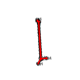 O=C(O)CCCCCCCCCCC(CCCCCCCCCCC(=O)O)(C(=O)O)C(=O)NCCOCCOCCOCCOCCOCCOCCOCCOCCOCCOCCOCCOCCOCCOCCOCCOCCOCCOCCOCCOCCOCCOCCOCCn1nnc2c1CC[C@@H]1[C@H](CO)[C@@H]1CC2